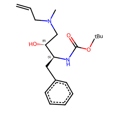 C=CCN(C)C[C@@H](O)[C@H](Cc1ccccc1)NC(=O)OC(C)(C)C